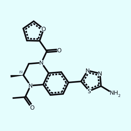 CC(=O)N1c2ccc(-c3nnc(N)s3)cc2N(C(=O)c2ccco2)C[C@@H]1C